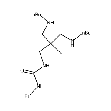 CCCCNCC(C)(CNCCCC)CNC(=O)NCC